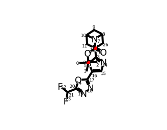 CC(C)(C)OC(=O)N1C2CC1CN(c1ncc(-c3nnc(C(F)F)o3)s1)C2